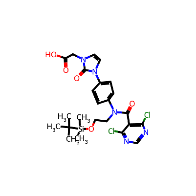 CC(C)(C)[Si](C)(C)OCCN(C(=O)c1c(Cl)ncnc1Cl)c1ccc(-n2ccn(CC(=O)O)c2=O)cc1